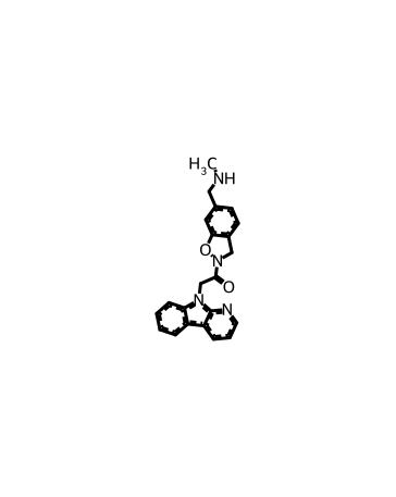 CNCc1ccc2c(c1)ON(C(=O)Cn1c3ccccc3c3cccnc31)C2